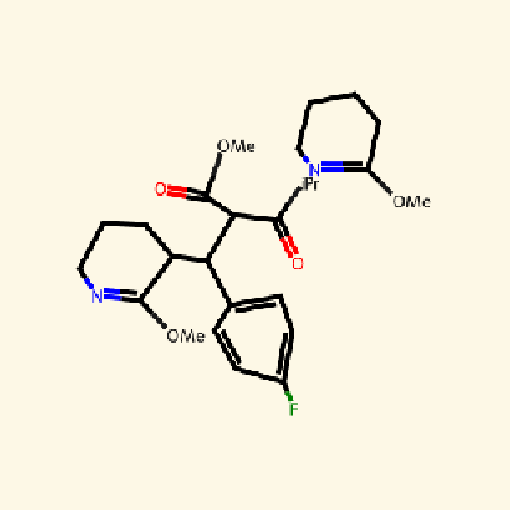 COC(=O)C(C(=O)C(C)C)C(c1ccc(F)cc1)C1CCCN=C1OC.COC1=NCCCC1